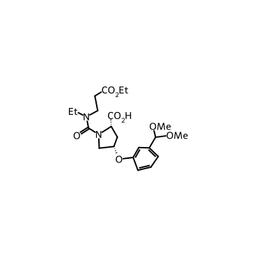 CCOC(=O)CCN(CC)C(=O)N1C[C@@H](Oc2cccc(C(OC)OC)c2)C[C@H]1C(=O)O